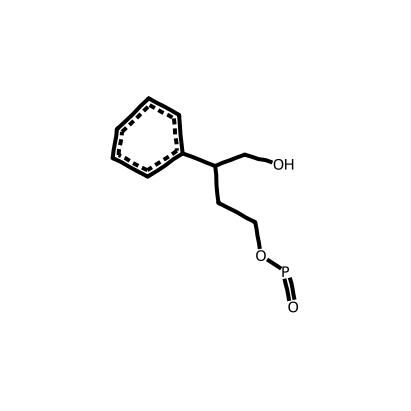 O=POCCC(CO)c1ccccc1